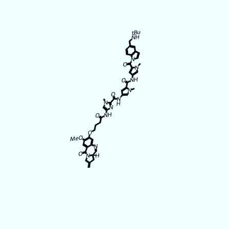 C=C1C[C@H]2C=Nc3cc(OCCCC(=O)Nc4cn(C)c(C(=O)Nc5cc(C(=O)Nc6cc(C(=O)n7ccc8cc(CNC(C)(C)C)ccc87)n(C)c6)n(C)c5)n4)c(OC)cc3C(=O)N2C1